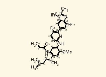 C=CC(=O)Nc1cc(Nc2ncc(F)c(-c3cc(F)c4nc(C)n(C(C)C)c4c3)n2)c(OC)cc1N(C)CCN(C)C